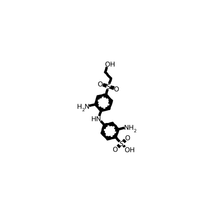 Nc1cc(S(=O)(=O)CCO)ccc1Nc1ccc(S(=O)(=O)O)c(N)c1